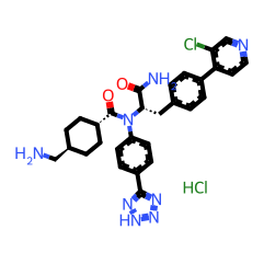 Cl.NC[C@H]1CC[C@H](C(=O)N(c2ccc(-c3nn[nH]n3)cc2)[C@@H](Cc2ccc(-c3ccncc3Cl)cc2)C(N)=O)CC1